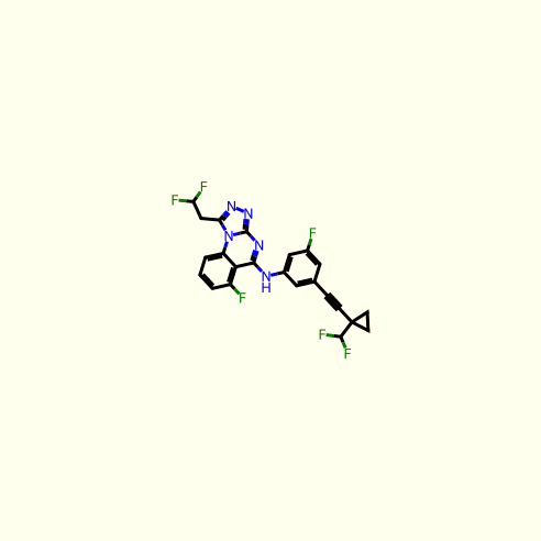 Fc1cc(C#CC2(C(F)F)CC2)cc(Nc2nc3nnc(CC(F)F)n3c3cccc(F)c23)c1